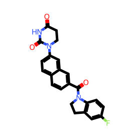 O=C1CCN(c2ccc3ccc(C(=O)N4CCc5cc(F)ccc54)cc3c2)C(=O)N1